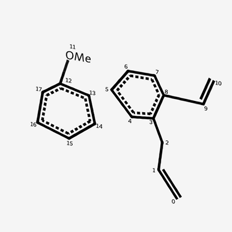 C=CCc1ccccc1C=C.COc1ccccc1